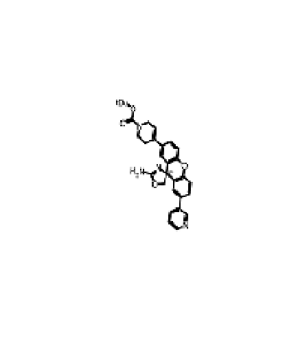 CC(C)(C)OC(=O)N1CC=C(c2ccc3c(c2)[C@]2(COC(N)=N2)c2cc(-c4cccnc4)ccc2O3)CC1